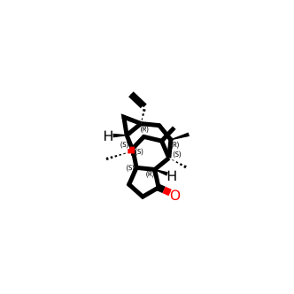 C=C[C@]12C[C@@H](C)[C@]3(C)C(C)CC[C@]4(CCC(=O)[C@H]43)[C@@H](C)[C@@H]1C2